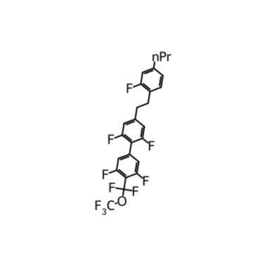 CCCc1ccc(CCc2cc(F)c(-c3cc(F)c(C(F)(F)OC(F)(F)F)c(F)c3)c(F)c2)c(F)c1